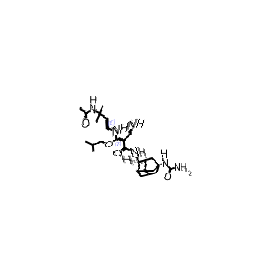 CC(=O)NC(C)(C)/C=C/N/C(OCC(C)C)=C(\C=N)C(=O)N[C@H]1C2CC3CC1C[C@](NC(N)=O)(C3)C2